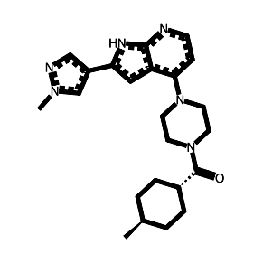 Cn1cc(-c2cc3c(N4CCN(C(=O)[C@H]5CC[C@H](C)CC5)CC4)ccnc3[nH]2)cn1